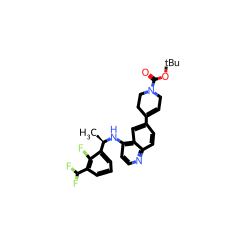 C[C@@H](Nc1ccnc2ccc(C3=CCN(C(=O)OC(C)(C)C)CC3)cc12)c1cccc(C(F)F)c1F